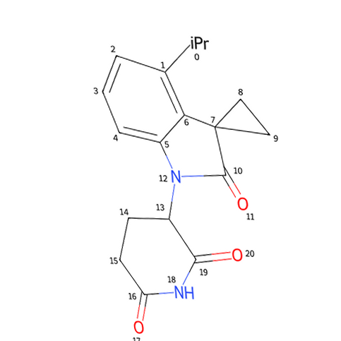 CC(C)c1cccc2c1C1(CC1)C(=O)N2C1CCC(=O)NC1=O